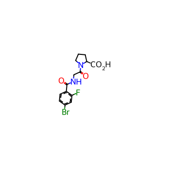 O=C(NCC(=O)N1CCCC1C(=O)O)c1ccc(Br)cc1F